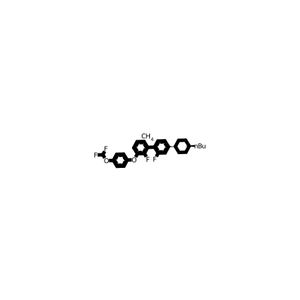 C.CCCC[C@H]1CC[C@H](c2ccc(-c3cccc(Oc4ccc(OC(F)F)cc4)c3F)c(F)c2)CC1